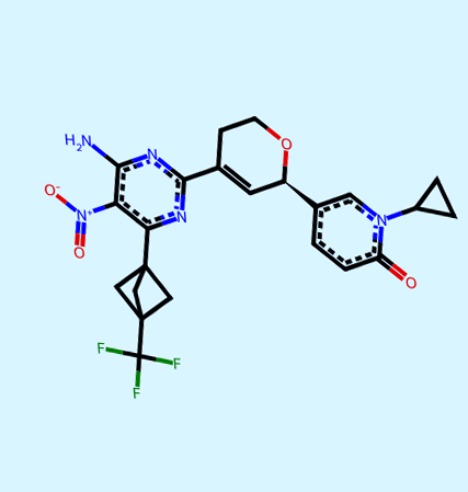 Nc1nc(C2=C[C@H](c3ccc(=O)n(C4CC4)c3)OCC2)nc(C23CC(C(F)(F)F)(C2)C3)c1[N+](=O)[O-]